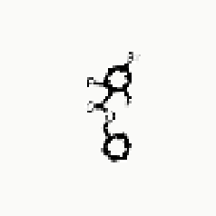 O=C(OCc1ccccc1)c1c(F)cc(Br)cc1F